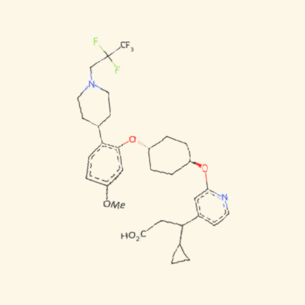 COc1ccc(C2CCN(CC(F)(F)C(F)(F)F)CC2)c(O[C@H]2CC[C@H](Oc3cc(C(CC(=O)O)C4CC4)ccn3)CC2)c1